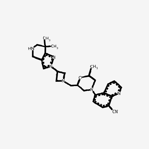 CC1CN(c2ccc(C#N)c3ncccc23)CC(CN2CC(n3cc4c(n3)C(C)(C)CNC4)C2)O1